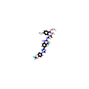 COC(C)c1ccc(C)cc1N1C(=O)CS/C1=N\C(=O)Nc1ccc(-c2ncn(-c3ccc(OC(F)(F)F)cc3)n2)cc1C(F)(F)F